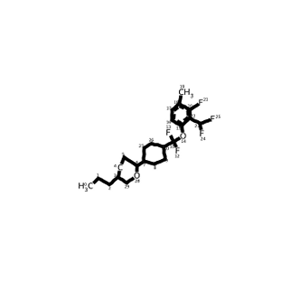 CCCC1CCC(C2CCC(C(F)(F)Oc3ccc(C)c(F)c3C(F)F)CC2)OC1